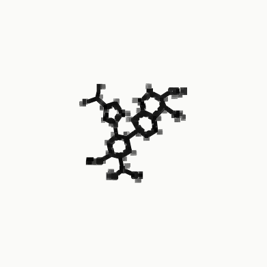 COc1cc(-n2cc(C(F)F)cn2)c(-c2ccc3c(N)c(C(=O)O)nnc3c2)cc1B(O)O